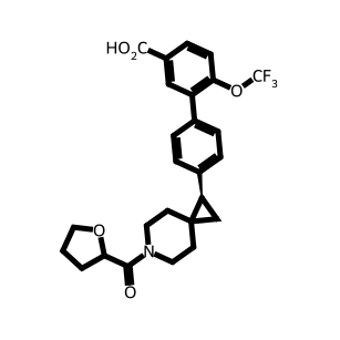 O=C(O)c1ccc(OC(F)(F)F)c(-c2ccc([C@H]3CC34CCN(C(=O)C3CCCO3)CC4)cc2)c1